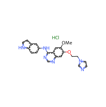 COc1cc2c(Nc3ccc4[nH]ccc4c3)ncnc2cc1OCCn1ccnc1.Cl